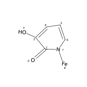 O=c1c(O)ccc[n]1[Fe]